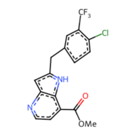 COC(=O)c1ccnc2cc(Cc3ccc(Cl)c(C(F)(F)F)c3)[nH]c12